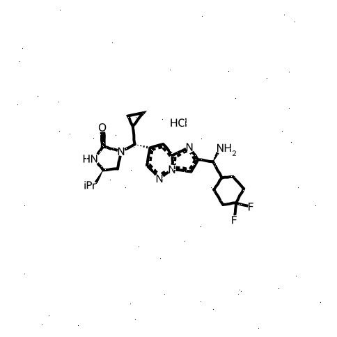 CC(C)[C@@H]1CN([C@@H](c2cnn3cc([C@@H](N)C4CCC(F)(F)CC4)nc3c2)C2CC2)C(=O)N1.Cl